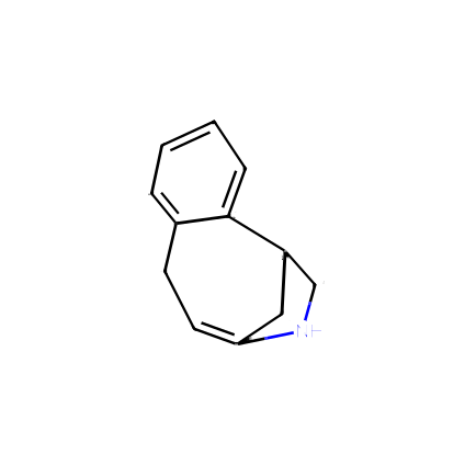 C1=C2CC(CN2)c2ccccc2C1